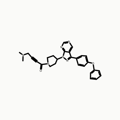 CN(C)CC#CC(=O)N1CCC(n2nc(-c3ccc(Oc4ccccc4)cc3)c3cncnc32)CC1